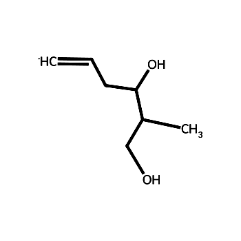 [CH]=CCC(O)C(C)CO